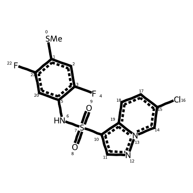 CSc1cc(F)c(NS(=O)(=O)c2cnn3cc(Cl)ccc23)cc1F